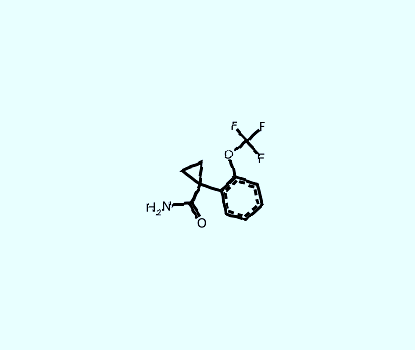 NC(=O)C1(c2ccccc2OC(F)(F)F)CC1